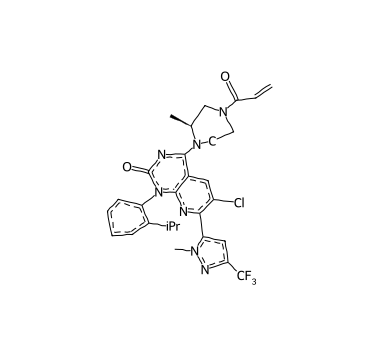 C=CC(=O)N1CCN(c2nc(=O)n(-c3ccccc3C(C)C)c3nc(-c4cc(C(F)(F)F)nn4C)c(Cl)cc23)[C@@H](C)C1